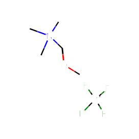 COC[N+](C)(C)C.F[B-](F)(F)F